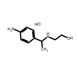 CC(NCCO)c1ccc(N)cc1.Cl